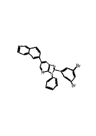 Brc1cc(Br)cc(-c2nc3cc(-c4ccc5ccccc5c4)cnc3n2-c2ccccc2)c1